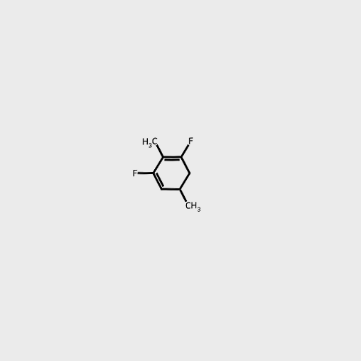 CC1=C(F)CC(C)C=C1F